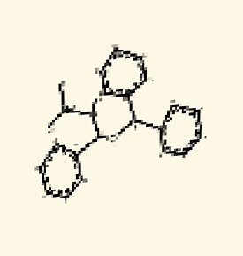 CC(C(OB(c1ccccc1)c1ccccc1)c1ccccc1)N(C)C